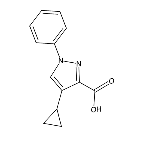 O=C(O)c1nn(-c2ccccc2)cc1C1CC1